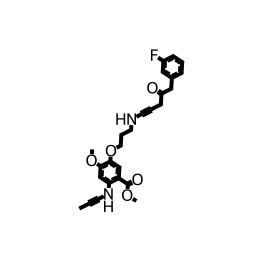 CC#CNc1cc(OC)c(OCCCNC#CCC(=O)Cc2cccc(F)c2)cc1C(=O)OC